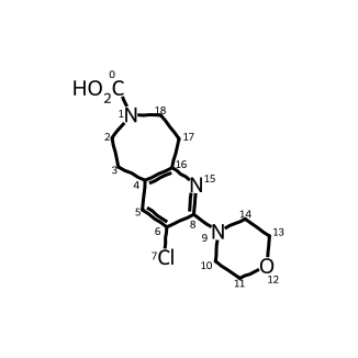 O=C(O)N1CCc2cc(Cl)c(N3CCOCC3)nc2CC1